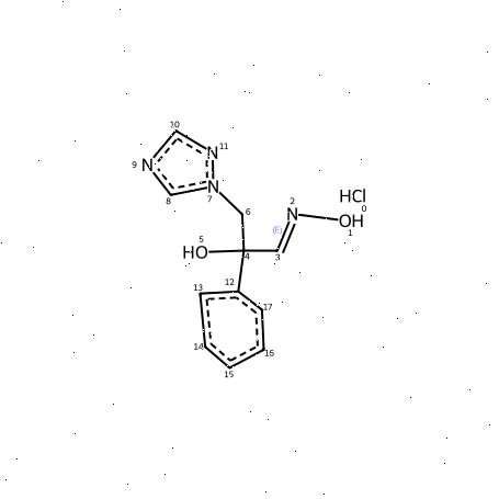 Cl.O/N=C/C(O)(Cn1cncn1)c1ccccc1